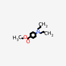 C=CCN(CC=C)c1ccc(C(=O)OCC)cc1